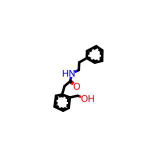 O=C(Cc1ccccc1CO)NCCc1ccccc1